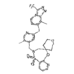 Cc1cnc(Cc2ccn3c(C(F)(F)F)nnc3c2C)cc1CN1CC2(CCOCC2)Oc2ncccc2S1(=O)=O